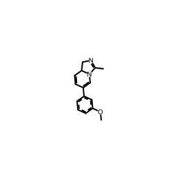 COc1cccc(C2=CN3C(C)=NCC3C=C2)c1